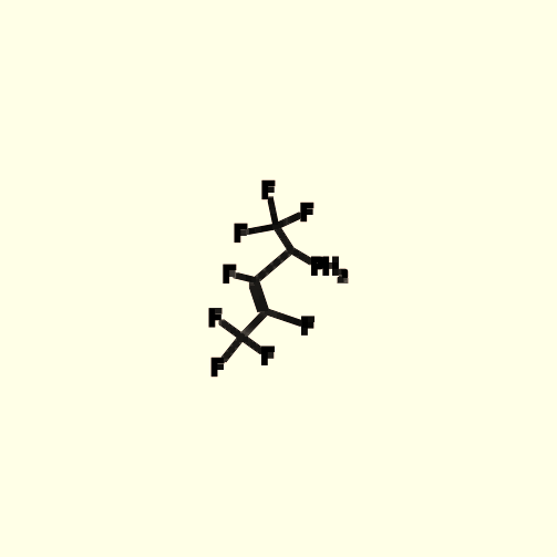 F/C(=C(/F)C(F)(F)F)C(P)C(F)(F)F